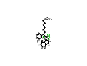 CCCCCCCCCCCCCCCCCC[Si](C)(c1ccccc1)[C]1([Ti]([Cl])([Cl])[Cl])C=Cc2ccccc21